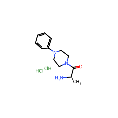 C[C@H](N)C(=O)N1CCN(c2ccccc2)CC1.Cl.Cl